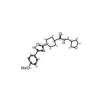 COc1ccc(-c2noc(N3CCC(C(=O)NCC4CCOC4)CC3)n2)cc1